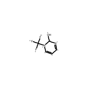 OC1N=CC=CN1C(F)(F)F